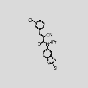 CC(C)N(C(=O)/C(C#N)=C/c1cccc(Cl)c1)c1ccc2nc(S)sc2c1